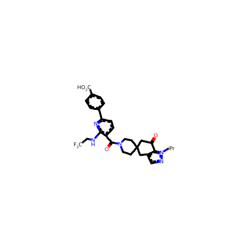 CC(C)n1ncc2c1C(=O)CC1(CCN(C(=O)c3ccc(-c4ccc(C(=O)O)cc4)nc3NCC(F)(F)F)CC1)C2